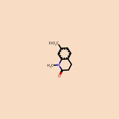 CCOC(=O)c1ccc2c(c1)N(C)C(=O)CC2